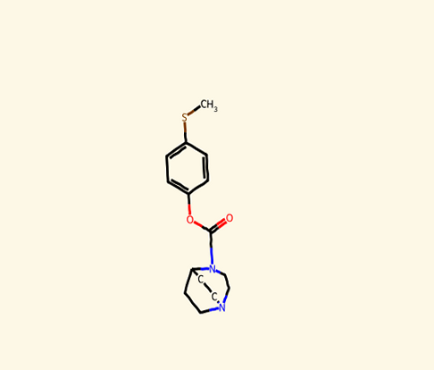 CSc1ccc(OC(=O)N2CCN3CCC2CC3)cc1